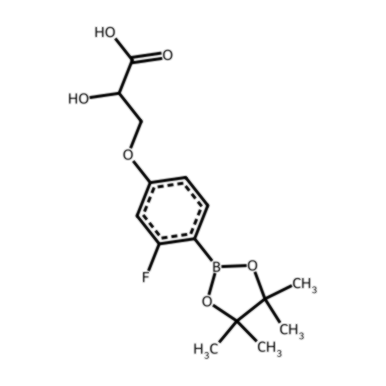 CC1(C)OB(c2ccc(OCC(O)C(=O)O)cc2F)OC1(C)C